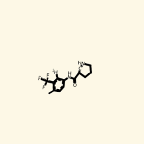 [2H]c1c(NC(=O)C2CCCNC2)ccc(C)c1C(F)(F)F